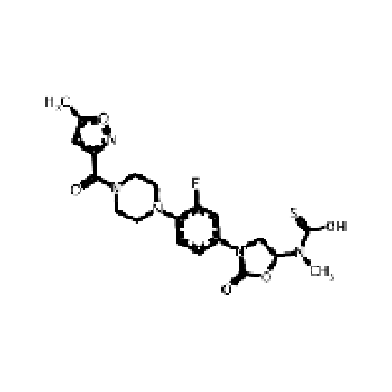 Cc1cc(C(=O)N2CCN(c3ccc(N4CC(N(C)C(O)=S)OC4=O)cc3F)CC2)no1